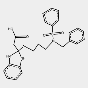 O=C(O)CC1(SCCCN(Cc2ccccc2)S(=O)(=O)c2ccccc2)Nc2ccccc2N1